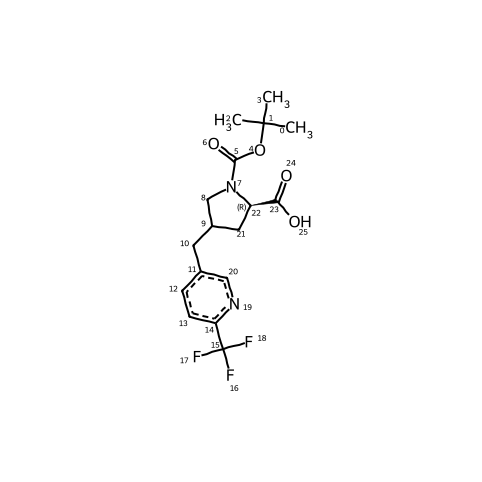 CC(C)(C)OC(=O)N1CC(Cc2ccc(C(F)(F)F)nc2)C[C@@H]1C(=O)O